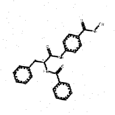 O=C(NO)c1ccc(NC(=O)[C@H](Cc2ccccc2)NC(=O)c2ccccc2)cc1